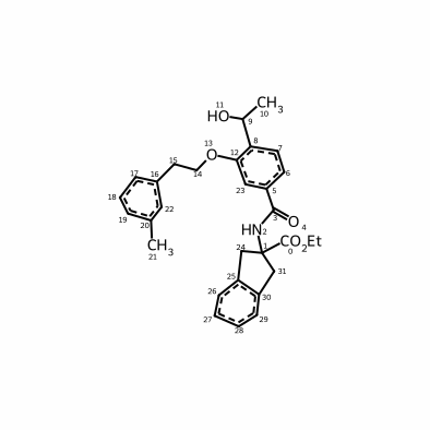 CCOC(=O)C1(NC(=O)c2ccc(C(C)O)c(OCCc3cccc(C)c3)c2)Cc2ccccc2C1